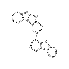 c1ccc2c(c1)oc1c(-c3ccc4nc5oc6ccccc6n5c4c3)cccc12